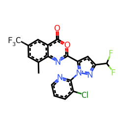 Cc1cc(C(F)(F)F)cc2c(=O)oc(-c3cc(C(F)F)nn3-c3ncccc3Cl)nc12